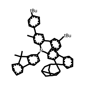 Cc1cc(N(c2ccc3c(c2)C(C)(C)c2ccccc2-3)c2ccc3c(c2)C2(c4ccccc4-3)C3CC4CC(C3)CC2C4)c(-c2cccc(C(C)(C)C)c2)cc1-c1ccc(C(C)(C)C)cc1